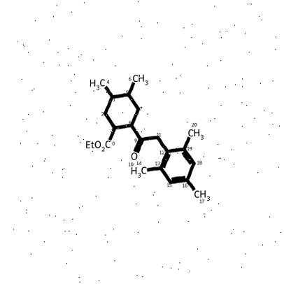 CCOC(=O)C1CC(C)C(C)CC1C(=O)Cc1c(C)cc(C)cc1C